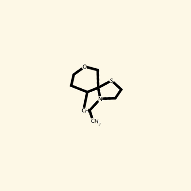 CCN1CCSC12COCCC2C